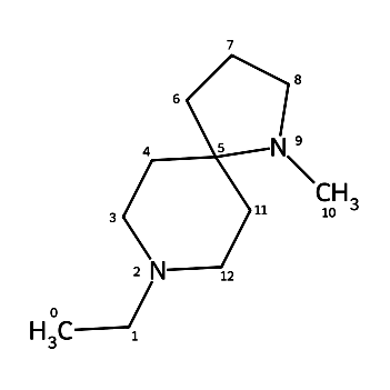 CCN1CCC2(CCCN2C)CC1